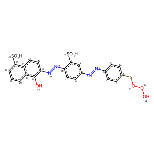 O=S(=O)(O)c1cc(/N=N/c2ccc(SOOO)cc2)ccc1/N=N/c1ccc2c(S(=O)(=O)O)cccc2c1O